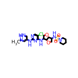 CN/C=C(\C=N)Nc1ncc(Cl)c(NC2COC3C(NS(=O)(=O)N4CCCCC4)COC23)n1